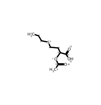 CCCSCCC(OC(C)=O)C(=O)O